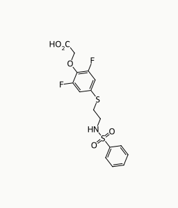 O=C(O)COc1c(F)cc(SCCNS(=O)(=O)c2ccccc2)cc1F